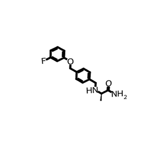 C[C@@H](NCc1ccc(COc2cccc(F)c2)cc1)C(N)=O